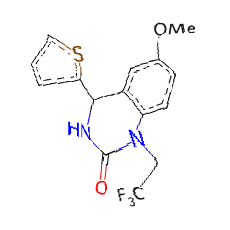 COc1ccc2c(c1)C(c1cccs1)NC(=O)N2CC(F)(F)F